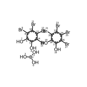 OB(O)O.Oc1c(O)c(Br)c(Br)c(Br)c1Br.Oc1c(O)c(Br)c(Br)c(Br)c1Br